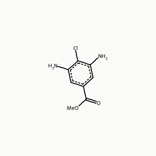 COC(=O)c1cc(N)c(Cl)c(N)c1